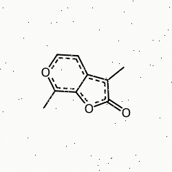 Cc1occc2c(C)c(=O)oc1-2